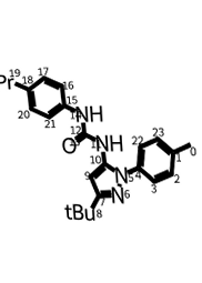 Cc1ccc(-n2nc(C(C)(C)C)cc2NC(=O)Nc2ccc(C(C)C)cc2)cc1